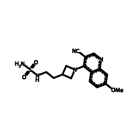 COc1ccc2c(N3CC(CCNS(N)(=O)=O)C3)c(C#N)cnc2c1